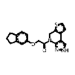 O=C(COc1ccc2c(c1)CCC2)N1Cc2sccc2-c2c[nH]nc21